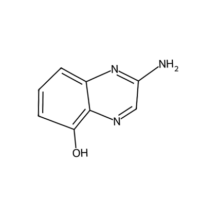 Nc1cnc2c(O)cccc2n1